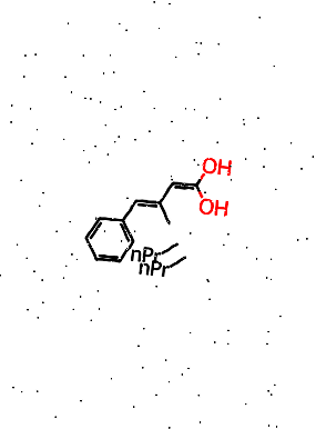 C/C(C=C(O)O)=C\c1ccccc1.CCCC.CCCC